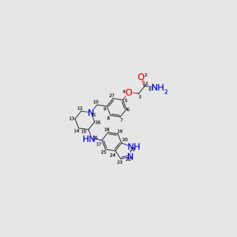 NC(=O)COc1cccc(CN2CCCC(Nc3ccc4[nH]ncc4c3)C2)c1